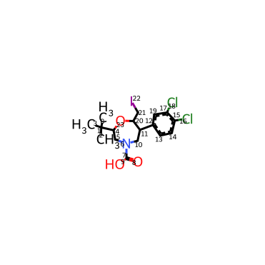 CC(C)(C)C1CN(C(=O)O)CC(c2ccc(Cl)c(Cl)c2)C(CI)O1